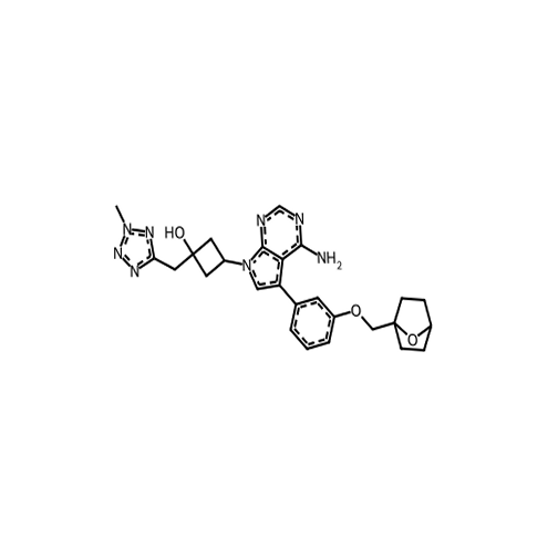 Cn1nnc(CC2(O)CC(n3cc(-c4cccc(OCC56CCC(CC5)O6)c4)c4c(N)ncnc43)C2)n1